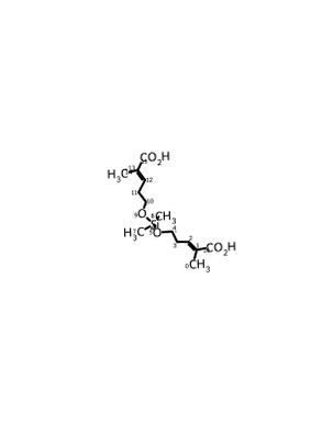 CC(=CC[CH]O[Si](C)(C)O[CH]CC=C(C)C(=O)O)C(=O)O